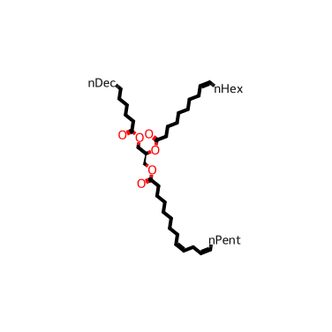 CCCCC/C=C\C/C=C\CCCCCCCC(=O)OC[C@@H](COC(=O)CCCCCCCCCCCCCCC)OC(=O)CCCCCCC/C=C\CCCCCC